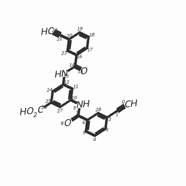 C#Cc1cccc(C(=O)Nc2cc(NC(=O)c3cccc(C#C)c3)cc(C(=O)O)c2)c1